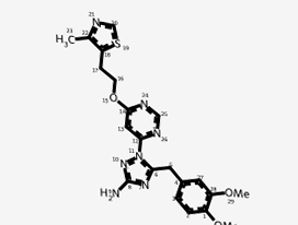 COc1ccc(Cc2nc(N)nn2-c2cc(OCCc3scnc3C)ncn2)cc1OC